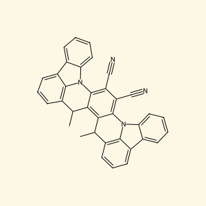 CC1c2c3c(c(C#N)c(C#N)c2-n2c4ccccc4c4cccc1c42)-n1c2ccccc2c2cccc(c21)C3C